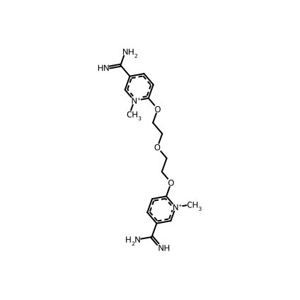 C[n+]1cc(C(=N)N)ccc1OCCOCCOc1ccc(C(=N)N)c[n+]1C